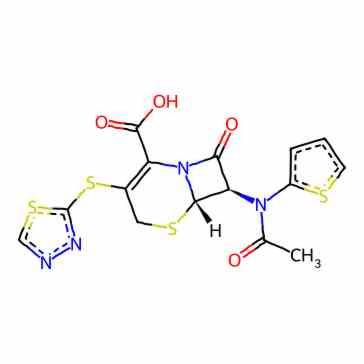 CC(=O)N(c1cccs1)[C@@H]1C(=O)N2C(C(=O)O)=C(Sc3nncs3)CS[C@@H]12